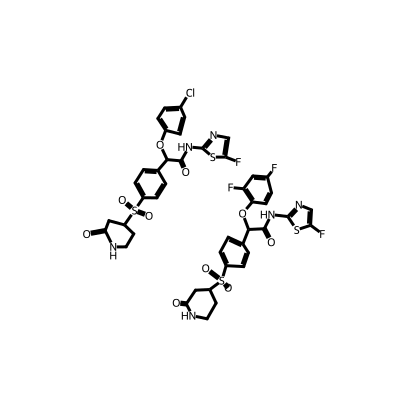 O=C1CC(S(=O)(=O)c2ccc(C(Oc3ccc(Cl)cc3)C(=O)Nc3ncc(F)s3)cc2)CCN1.O=C1CC(S(=O)(=O)c2ccc(C(Oc3ccc(F)cc3F)C(=O)Nc3ncc(F)s3)cc2)CCN1